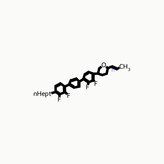 C/C=C/C1CCC(c2ccc(-c3ccc(-c4ccc(CCCCCCC)c(F)c4F)cc3)c(F)c2F)CO1